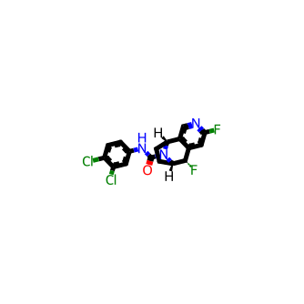 O=C(Nc1ccc(Cl)c(Cl)c1)N1[C@@H]2CC[C@H]1[C@@H](F)c1cc(F)ncc12